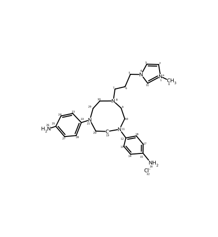 C[n+]1ccn(CCCN2CCN(c3ccc(N)cc3)CCN(c3ccc(N)cc3)CC2)c1.[Cl-]